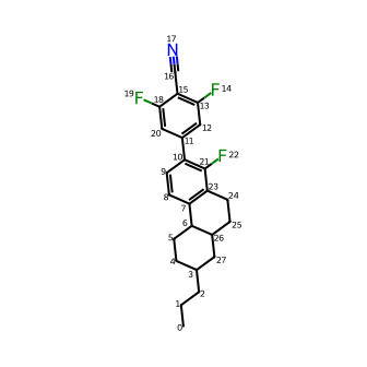 CCCC1CCC2c3ccc(-c4cc(F)c(C#N)c(F)c4)c(F)c3CCC2C1